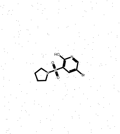 O=S(=O)(c1cc(Br)cnc1O)N1C[CH]CC1